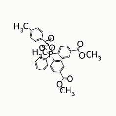 COC(=O)c1ccc(P(C)(OS(=O)(=O)c2ccc(C)cc2)(c2ccccc2)c2ccc(C(=O)OC)cc2)cc1